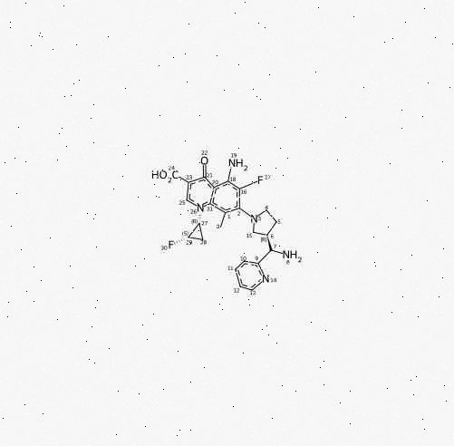 Cc1c(N2CC[C@@H](C(N)c3ccccn3)C2)c(F)c(N)c2c(=O)c(C(=O)O)cn([C@@H]3C[C@@H]3F)c12